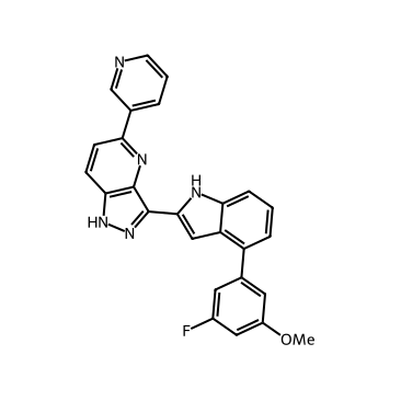 COc1cc(F)cc(-c2cccc3[nH]c(-c4n[nH]c5ccc(-c6cccnc6)nc45)cc23)c1